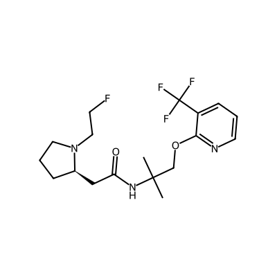 CC(C)(COc1ncccc1C(F)(F)F)NC(=O)C[C@H]1CCCN1CCF